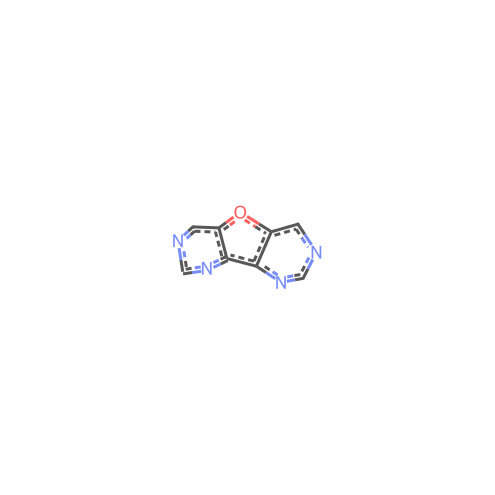 c1ncc2oc3cncnc3c2n1